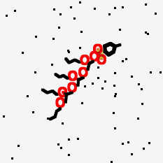 CCCCOCC(COCC(COCC(COS(=O)(=O)c1ccc(C)cc1)OCCCC)OCCCC)OCCCC